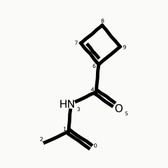 C=C(C)NC(=O)C1=CCC1